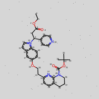 CCOC(=O)CC(c1ccncc1)n1ccc2cc(OCCc3ccc4c(n3)N(C(=O)OC(C)(C)C)CCC4)ccc21